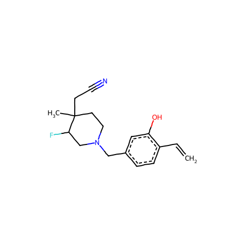 C=Cc1ccc(CN2CCC(C)(CC#N)C(F)C2)cc1O